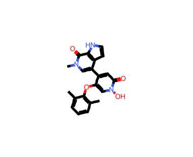 Cc1cccc(C)c1Oc1cn(O)c(=O)cc1-c1cn(C)c(=O)c2[nH]ccc12